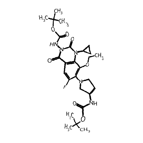 CCOc1c(N2CCC(NC(=O)OC(C)(C)C)C2)c(F)cc2c(=O)n(NC(=O)OC(C)(C)C)c(=O)n(C3CC3)c12